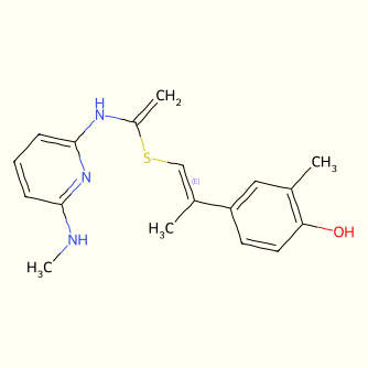 C=C(Nc1cccc(NC)n1)S/C=C(\C)c1ccc(O)c(C)c1